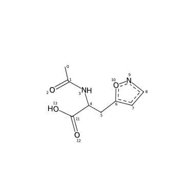 CC(=O)NC(Cc1ccno1)C(=O)O